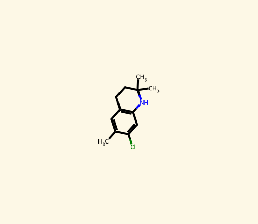 Cc1cc2c(cc1Cl)NC(C)(C)CC2